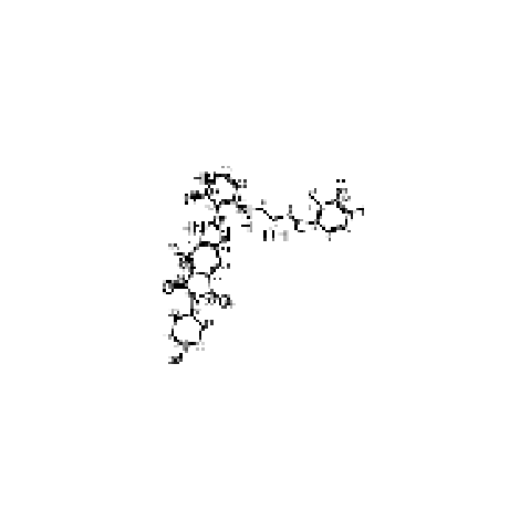 Cc1ccc(OC[C@H](O)CNc2cc[nH]c(=O)c2-c2nc3cc4c(c(C)c3[nH]2)C(=O)N(C2CCN(C)CC2)C4=O)c(C)c1Cl